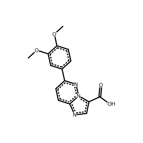 COc1ccc(-c2ccc3ncc(C(=O)O)n3n2)cc1OC